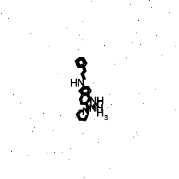 CC1NC2c3ccc(NCCCc4ccccc4)cc3CCC2C(N2CCCCC2)N1